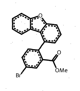 COC(=O)c1cc(Br)ccc1-c1cccc2oc3ccccc3c12